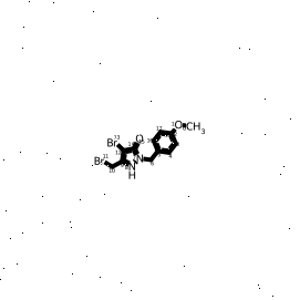 COc1ccc(Cn2[nH]c(CBr)c(Br)c2=O)cc1